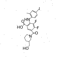 Cc1cc(I)ccc1Nc1c(C(=O)O)cc(C(=O)N2CCCC(CO)C2)c(F)c1F